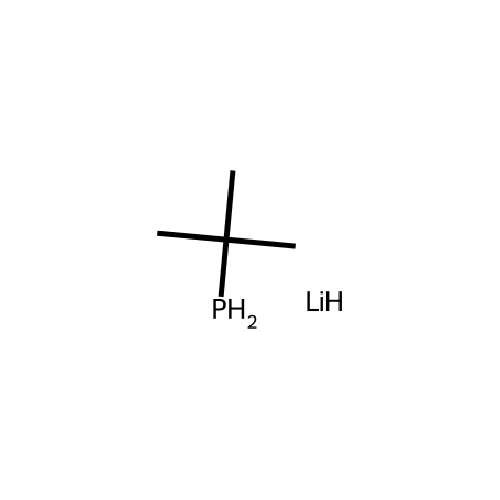 CC(C)(C)P.[LiH]